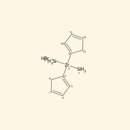 Br.[SiH3][Zr]([SiH3])([C]1=CC=CC1)[C]1=CC=CC1